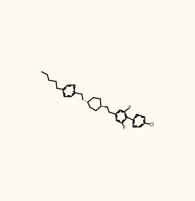 CCCCCc1ccc(CC[C@H]2CC[C@H](CCc3cc(F)c(-c4ccc(Cl)cc4)c(F)c3)CC2)cc1